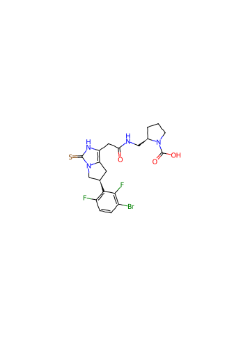 O=C(Cc1[nH]c(=S)n2c1C[C@@H](c1c(F)ccc(Br)c1F)C2)NC[C@H]1CCCN1C(=O)O